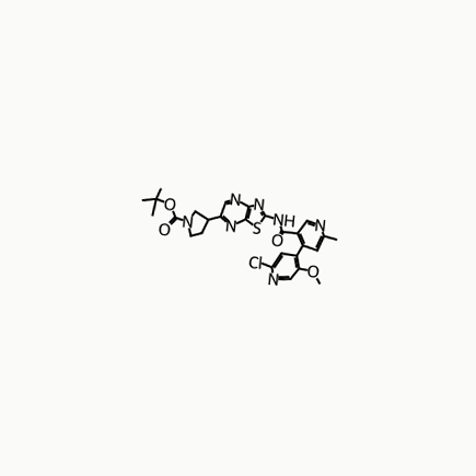 COc1cnc(Cl)cc1-c1cc(C)ncc1C(=O)Nc1nc2ncc(C3CCN(C(=O)OC(C)(C)C)C3)nc2s1